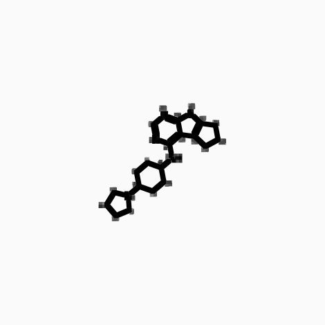 c1nc(NC2CCC(N3CCCC3)CC2)c2c3c(sc2n1)CCC3